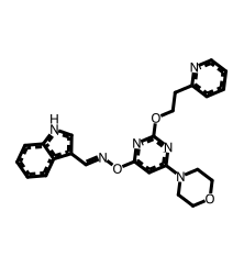 C(=NOc1cc(N2CCOCC2)nc(OCCc2ccccn2)n1)c1c[nH]c2ccccc12